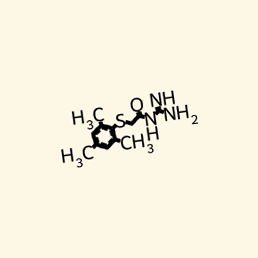 Cc1cc(C)c(SCC(=O)NC(=N)N)c(C)c1